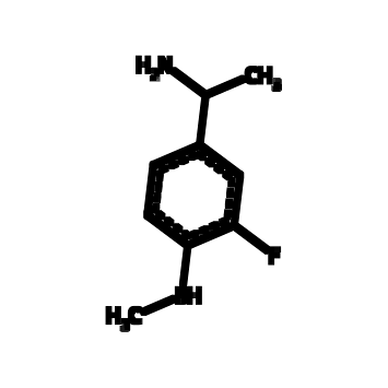 CBc1ccc(C(C)N)cc1F